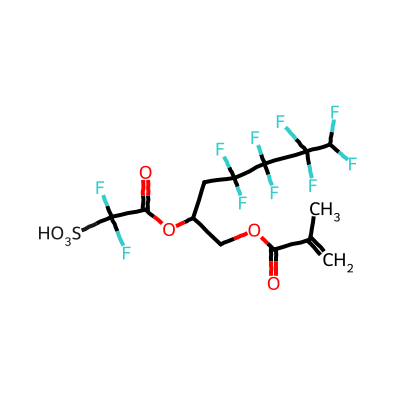 C=C(C)C(=O)OCC(CC(F)(F)C(F)(F)C(F)(F)C(F)F)OC(=O)C(F)(F)S(=O)(=O)O